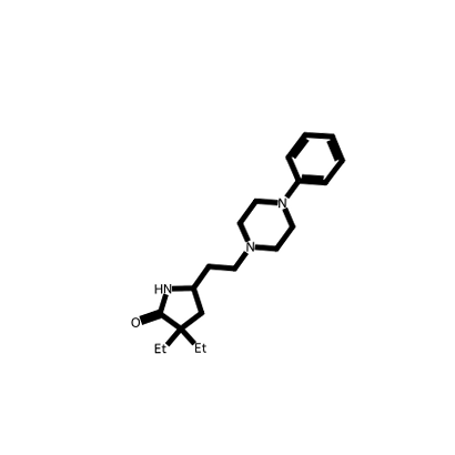 CCC1(CC)CC(CCN2CCN(c3ccccc3)CC2)NC1=O